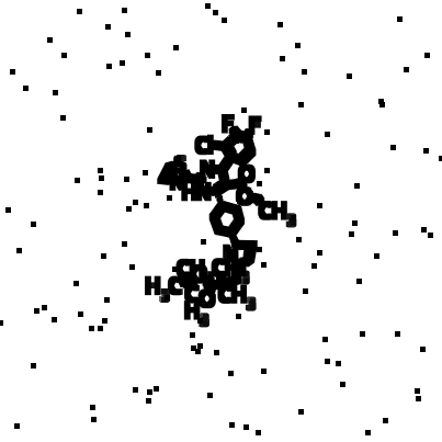 CCOC(=O)C1=C([C@H]2CC[C@H](c3ccn(CC(C)(C)C(=O)OC(C)(C)C)n3)CC2)NC(c2nccs2)=NC1c1ccc(F)c(F)c1Cl